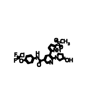 CS(=O)(=O)c1ccc(-c2cc(C(=O)Nc3ccc(OC(F)(F)Cl)cc3)cnc2N2CC[C@@H](O)C2)[nH]1